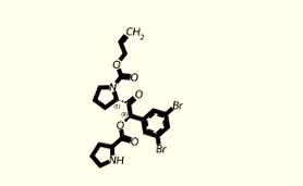 C=CCOC(=O)N1CCC[C@H]1C(=O)[C@H](OC(=O)C1CCCN1)c1cc(Br)cc(Br)c1